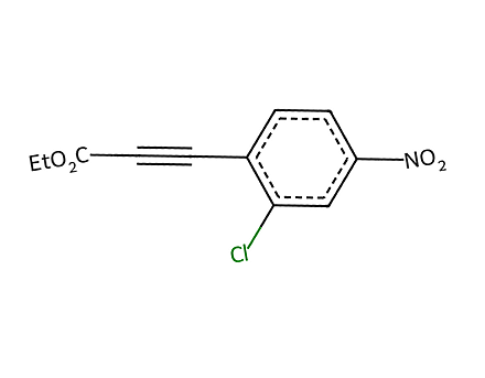 CCOC(=O)C#Cc1ccc([N+](=O)[O-])cc1Cl